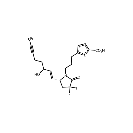 CCCC#CCC[C@H](O)/C=C/[C@H]1CC(F)(F)C(=O)N1CCCc1ccc(C(=O)O)s1